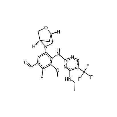 CCNc1nc(Nc2c(N3C[C@@H]4C[C@H]3CO4)cc(C=O)c(F)c2OC)ncc1C(F)(F)F